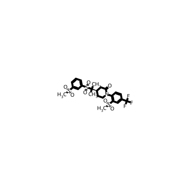 CC(C)([C@@H]1CCN(c2ccc(C(F)(F)F)cc2S(C)(=O)=O)C(=O)C1)S(=O)(=O)c1cccc(S(C)(=O)=O)c1